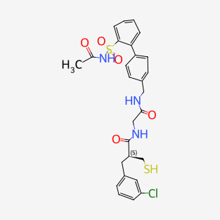 CC(=O)NS(=O)(=O)c1ccccc1-c1ccc(CNC(=O)CNC(=O)[C@@H](CS)Cc2cccc(Cl)c2)cc1